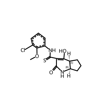 COc1c(Cl)cccc1NC(=S)C1=C(O)[C@H]2CCC[C@H]2NC1=O